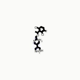 C/C=C(\C=N/C(N)=C/OC(C)c1c(Cl)ccc(F)c1Cl)C(/C=N)=C/N